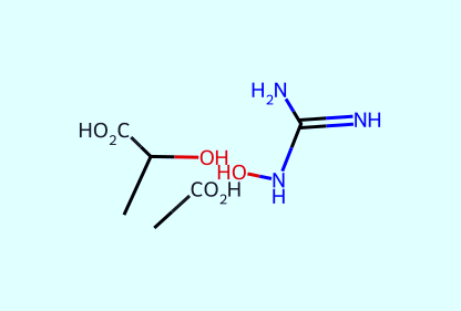 CC(=O)O.CC(O)C(=O)O.N=C(N)NO